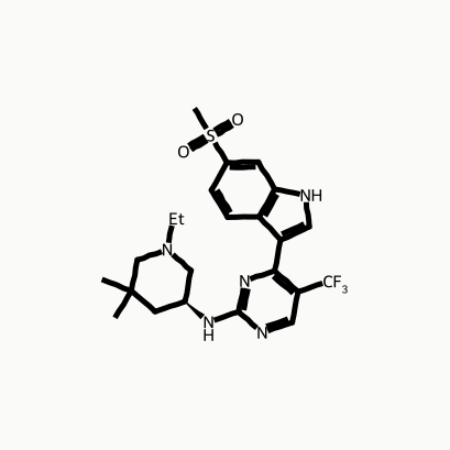 CCN1C[C@@H](Nc2ncc(C(F)(F)F)c(-c3c[nH]c4cc(S(C)(=O)=O)ccc34)n2)CC(C)(C)C1